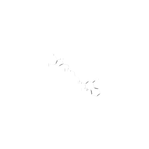 O=c1cc(NCCCNCc2cc(Br)c(Br)o2)[nH]c2ccccc12